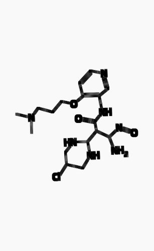 CN(C)CCCOc1ccncc1NC(=O)C(C(N)N=O)C1NCC(Cl)CN1